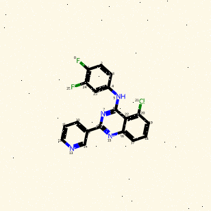 Fc1ccc(Nc2nc(-c3cccnc3)nc3cccc(Cl)c23)cc1F